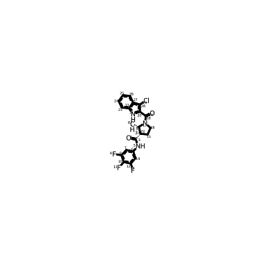 C[C@H]1[C@@H](C(=O)Nc2cc(F)c(F)c(F)c2)CCN1C(=O)c1[nH]c2ccccc2c1Cl